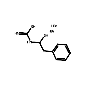 Br.Br.N=C(S)NC(S)Cc1ccccc1